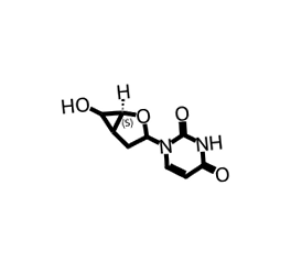 O=c1ccn(C2CC3C(O)[C@H]3O2)c(=O)[nH]1